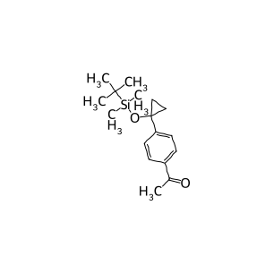 CC(=O)c1ccc(C2(O[Si](C)(C)C(C)(C)C)CC2)cc1